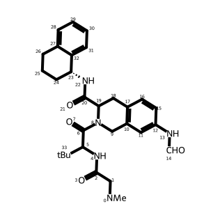 CNCC(=O)NC(C(=O)N1Cc2cc(NC=O)ccc2CC1C(=O)N[C@@H]1CCCc2ccccc21)C(C)(C)C